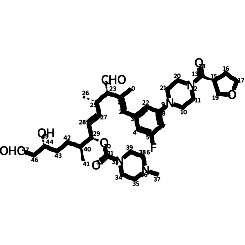 C/C(=C\c1cc(F)cc(N2CCN(C(=O)[C@H]3CCOC3)CC2)c1)[C@@H](C=O)[C@@H](C)/C=C/[C@H](OC(=O)N1CCN(C)CC1)[C@@H](C)CC[C@@H](O)CC=O